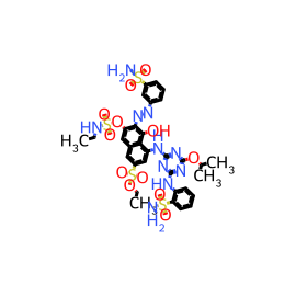 CCNS(=O)(=O)Oc1cc2cc(S(=O)(=O)OCC)cc(Nc3nc(Nc4ccccc4S(N)(=O)=O)nc(OC(C)C)n3)c2c(O)c1N=Nc1cccc(S(N)(=O)=O)c1